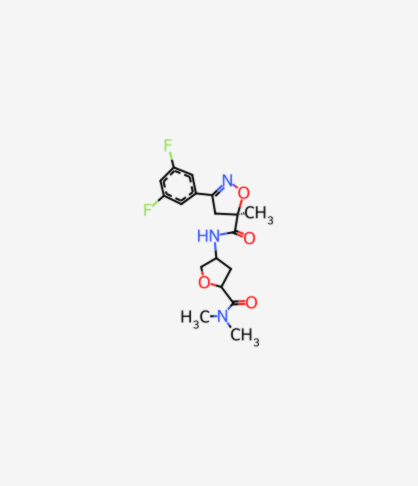 CN(C)C(=O)C1CC(NC(=O)[C@@]2(C)CC(c3cc(F)cc(F)c3)=NO2)CO1